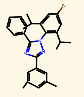 Cc1cc(C)cc(-c2nc(-c3ccccc3)n(-c3c(C(C)C)cc(Br)cc3C(C)C)n2)c1